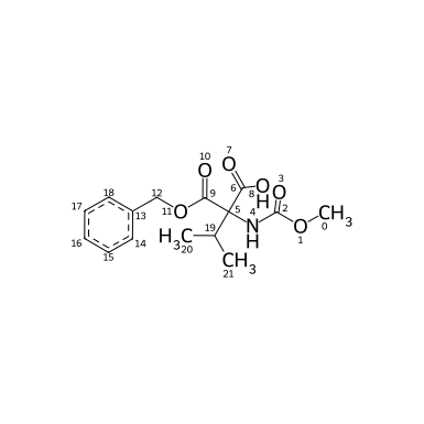 COC(=O)NC(C(=O)O)(C(=O)OCc1ccccc1)C(C)C